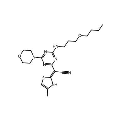 CCCCOCCCNc1nc(/C(C#N)=C2/NC(C)=CS2)nc(N2CCOCC2)n1